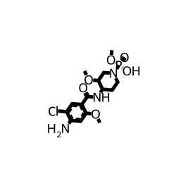 COc1cc(N)c(Cl)cc1C(=O)NC1CCN(P(=O)(O)OC)CC1OC